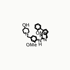 COc1cc(CN2CCC(O)CC2)ccc1Nc1ncc2ccc(-c3ccccc3OC)n2n1